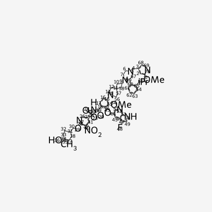 COc1cc(CN2CCN(C3CC4(CCN(c5ccc(C(=O)NS(=O)(=O)c6cnc(OCC7CCC(C)(O)CC7)c([N+](=O)[O-])c6)c(Oc6cc7c(F)c[nH]c7nc6OC)c5)CC4)C3)[C@H](c3ccccc3C(C)C)C2)ccn1